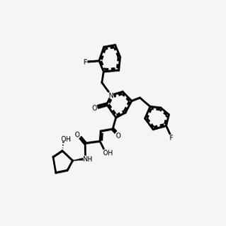 O=C(N[C@H]1CCC[C@@H]1O)/C(O)=C/C(=O)c1cc(Cc2ccc(F)cc2)cn(Cc2ccccc2F)c1=O